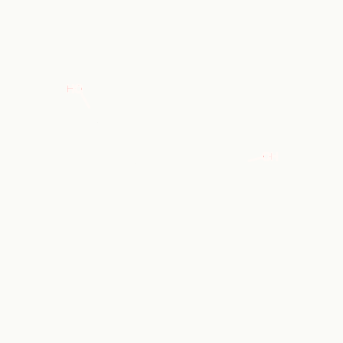 OC1CCC(C(C2CCCC3CCCCC32)C2CCC(O)C3CCCCC32)C2CCCCC12